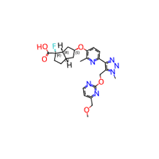 COCc1ccnc(OCc2c(-c3ccc(O[C@H]4C[C@@H]5CC[C@](F)(C(=O)O)[C@@H]5C4)c(C)n3)nnn2C)n1